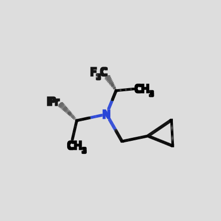 CC(C)[C@@H](C)N(CC1CC1)[C@@H](C)C(F)(F)F